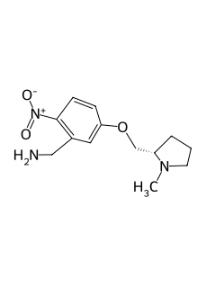 CN1CCC[C@H]1COc1ccc([N+](=O)[O-])c(CN)c1